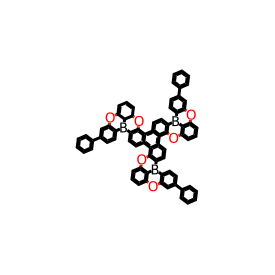 C1=CC2Oc3c(ccc4c5c6c(ccc5c5c7c(ccc5c34)B3c4ccc(-c5ccccc5)cc4Oc4cccc(c43)O7)B3c4ccc(-c5ccccc5)cc4Oc4cccc(c43)O6)B3c4ccc(-c5ccccc5)cc4OC(=C1)C32